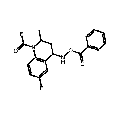 CCC(=O)N1c2ccc(F)cc2C(NOC(=O)c2ccccc2)CC1C